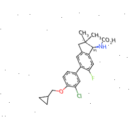 CC1(C)Cc2cc(-c3ccc(OCC4CC4)c(Cl)c3)c(F)cc2[C@@H]1NC(=O)O